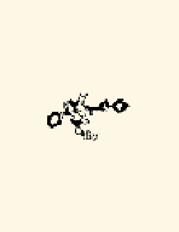 C[C@@H](Nc1cnc(N2CCCCC2)n(CC(=O)OC(C)(C)C)c1=O)c1ccc(-c2ccccc2)s1